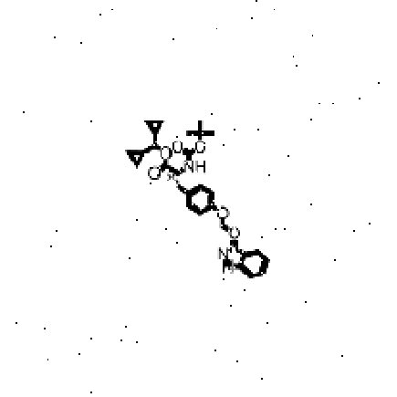 CC(C)(C)OC(=O)N[C@H](Cc1ccc(OCOn2nnc3ccccc32)cc1)C(=O)OC(C1CC1)C1CC1